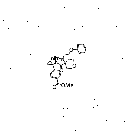 CCCN(CCOc1ccccc1)C1(C(=O)NC2(c3ccc(C(=O)OC)cc3)CC2)CCOCC1